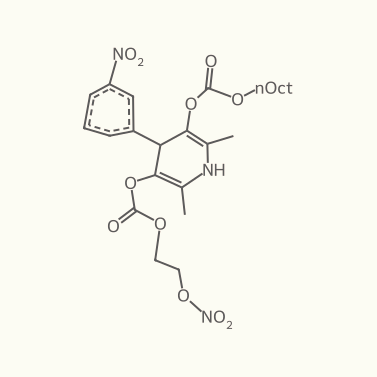 CCCCCCCCOC(=O)OC1=C(C)NC(C)=C(OC(=O)OCCO[N+](=O)[O-])C1c1cccc([N+](=O)[O-])c1